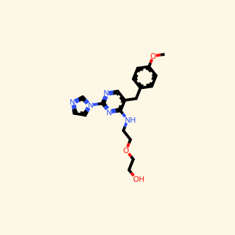 COc1ccc(Cc2cnc(-n3ccnc3)nc2NCCOCCO)cc1